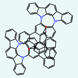 c1ccc(B(c2ccc(-n3c4ccccc4c4ccc5c6ccccc6n(-c6ccc7c8ccccc8c8ccccc8c7c6)c5c43)cc2)c2ccc(-n3c4ccccc4c4ccc5c6ccccc6n(-c6ccc7c8ccccc8c8ccccc8c7c6)c5c43)cc2)cc1